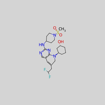 CS(=O)(=O)N1CCC(Nc2ncc3c(n2)N([C@@H]2CCC[C@@H](O)C2)CC(CC(F)F)=C3)CC1